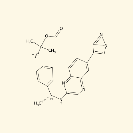 CC(C)(C)OC=O.C[C@@H](Nc1cnc2cc(-c3cn4nc3-4)ccc2n1)c1ccccc1